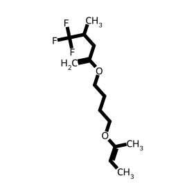 C=C(CC(C)C(F)(F)F)OCCCCO/C(C)=C/C